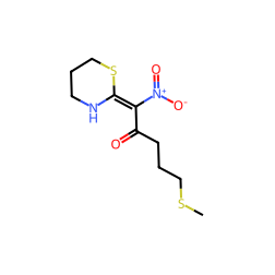 CSCCCC(=O)C(=C1NCCCS1)[N+](=O)[O-]